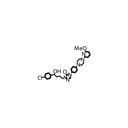 COc1cccc(N2CCN(c3ccc(-n4cnn(CCCC(O)c5ccc(Cl)cc5)c4=O)cc3)CC2)n1